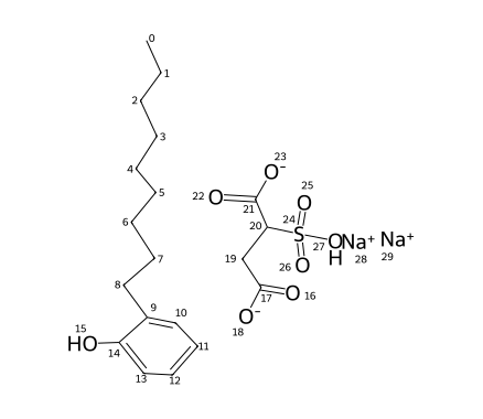 CCCCCCCCCc1ccccc1O.O=C([O-])CC(C(=O)[O-])S(=O)(=O)O.[Na+].[Na+]